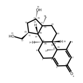 CC1=CC(=O)C=C2CC[C@H]3[C@@H]4[C@@H](CO)C[C@H](O)[C@@]4(C)CC[C@@H]3[C@@]12C